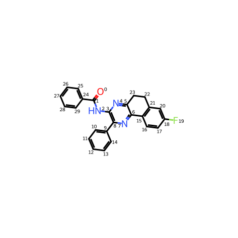 O=C(Nc1nc2c(nc1-c1ccccc1)-c1ccc(F)cc1CC2)c1ccccc1